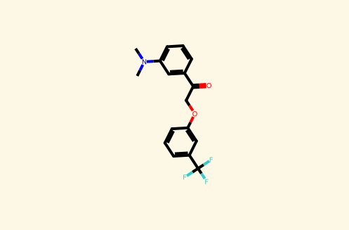 CN(C)c1cccc(C(=O)COc2cccc(C(F)(F)F)c2)c1